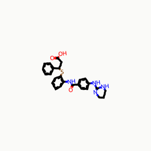 O=C(O)CC(Sc1ccccc1NC(=O)c1ccc(NC2=NCCCN2)cc1)c1ccccc1